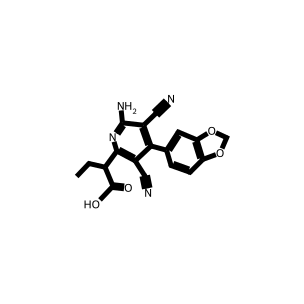 CCC(C(=O)O)c1nc(N)c(C#N)c(-c2ccc3c(c2)OCO3)c1C#N